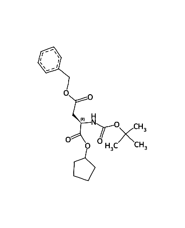 CC(C)(C)OC(=O)N[C@H](CC(=O)OCc1ccccc1)C(=O)OC1CCCC1